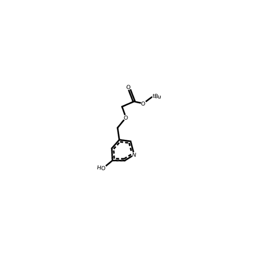 CC(C)(C)OC(=O)COCc1cncc(O)c1